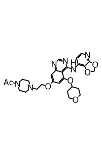 CC(=O)N1CCN(CCOc2cc(OC3CCOCC3)c3c(Nc4ccnc5c4OCO5)ncnc3c2)CC1